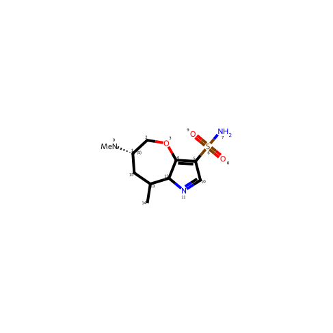 CN[C@@H]1COC2=C(S(N)(=O)=O)C=NC2C(C)C1